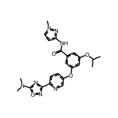 CC(C)Oc1cc(Oc2ccc(-c3noc(N(C)C)n3)nc2)cc(C(=O)Nc2ccn(C)n2)c1